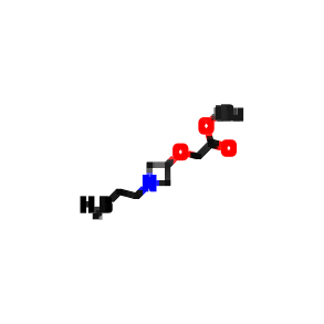 BCCN1CC(OCC(=O)OC(C)(C)C)C1